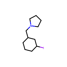 IC1CCCC(CN2CCCC2)C1